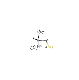 CC(=O)C(C)(CS)C(=O)O